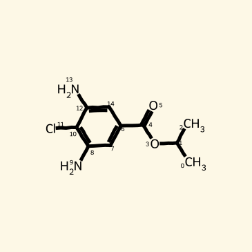 CC(C)OC(=O)c1cc(N)c(Cl)c(N)c1